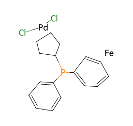 [Cl][Pd][Cl].[Fe].c1ccc(P(c2ccccc2)C2CCCC2)cc1